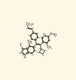 CCOc1cc(C)c(/C(=C(\c2ccc(/C=C/C(=O)O)cc2)c2ccc3[nH]nc(F)c3c2C#N)C2CCC2)cn1